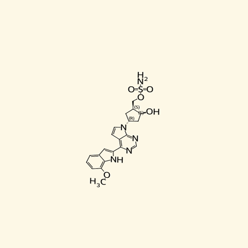 COc1cccc2cc(-c3ncnc4c3ccn4[C@@H]3C[C@@H](COS(N)(=O)=O)[C@@H](O)C3)[nH]c12